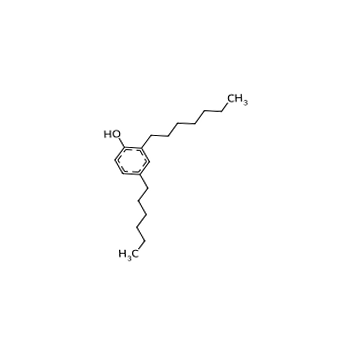 CCCCCCCc1cc(CCCCCC)ccc1O